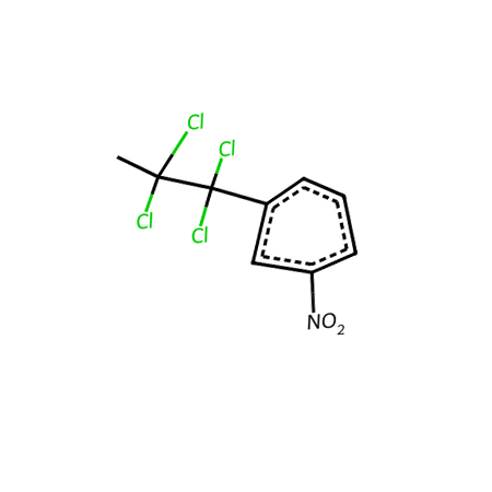 CC(Cl)(Cl)C(Cl)(Cl)c1cccc([N+](=O)[O-])c1